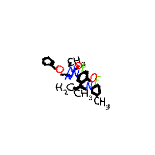 C=C(C)c1cn(-c2cc(C)ccc2F)c(=O)c2cc(F)c(-n3nc(COCc4ccccc4)n(CC)c3=O)cc12